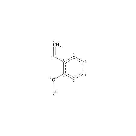 C=Cc1ccccc1OCC